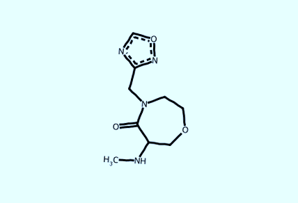 CNC1COCCN(Cc2ncon2)C1=O